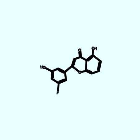 O=c1cc(-c2cc(O)cc(F)c2)oc2cccc(O)c12